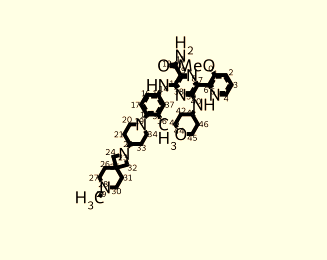 COc1cccnc1-c1nc(C(N)=O)c(Nc2ccc(N3CCC(N4CC5(CCN(C)CC5)C4)CC3)c(C)c2)nc1NC1CCOCC1